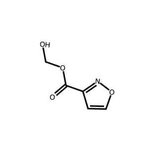 O=C(OCO)c1ccon1